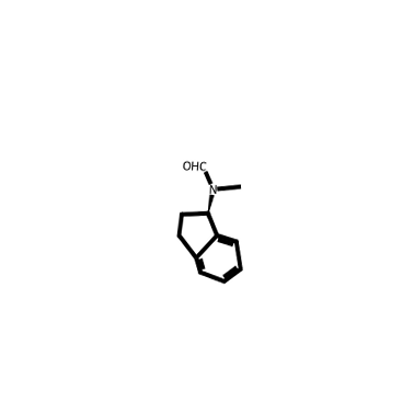 CN(C=O)[C@@H]1CCc2ccccc21